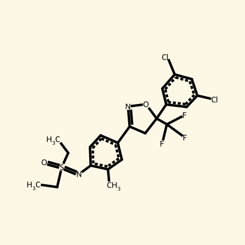 CCS(=O)(CC)=Nc1ccc(C2=NOC(c3cc(Cl)cc(Cl)c3)(C(F)(F)F)C2)cc1C